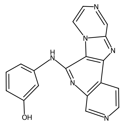 Oc1cccc(Nc2nc3cnccc3c3nc4cnccn4c23)c1